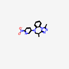 Cc1nnc2n1-c1ccccc1N(c1ccc([N+](=O)[O-])nc1)CC2C